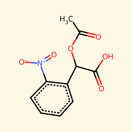 CC(=O)OC(C(=O)O)c1ccccc1[N+](=O)[O-]